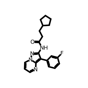 O=C(CCC1CCCC1)Nc1nn2cccnc2c1-c1cccc(F)c1